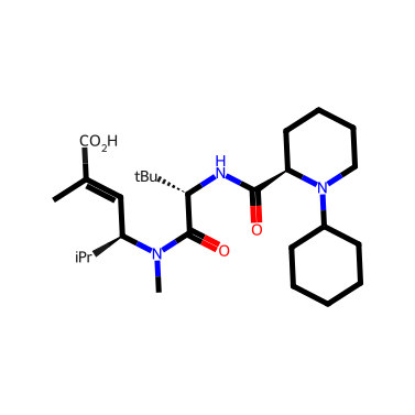 C/C(=C\[C@H](C(C)C)N(C)C(=O)[C@@H](NC(=O)[C@H]1CCCCN1C1CCCCC1)C(C)(C)C)C(=O)O